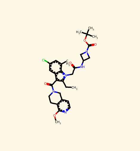 CCc1c(C(=O)N2CCc3c(ccnc3OC)C2)c2cc(Cl)cc(C)c2n1CC(=O)NC1CN(C(=O)OC(C)(C)C)C1